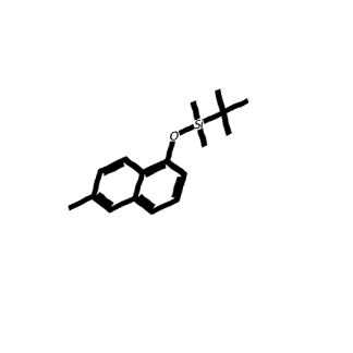 Cc1ccc2c(O[Si](C)(C)C(C)(C)C)cccc2c1